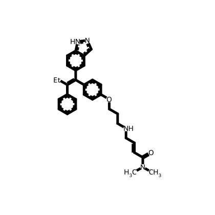 CC/C(=C(/c1ccc(OCCCNC/C=C/C(=O)N(C)C)cc1)c1ccc2[nH]ncc2c1)c1ccccc1